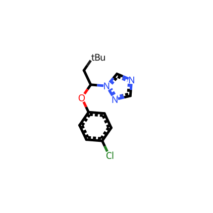 CC(C)(C)CC(Oc1ccc(Cl)cc1)n1cncn1